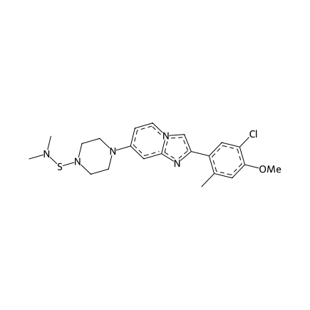 COc1cc(C)c(-c2cn3ccc(N4CCN(SN(C)C)CC4)cc3n2)cc1Cl